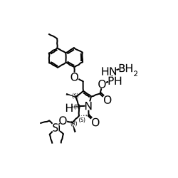 BNPOC(=O)C1=C(COc2cccc3c(CC)cccc23)[C@H](C)[C@@H]2[C@@H]([C@@H](C)O[Si](CC)(CC)CC)C(=O)N12